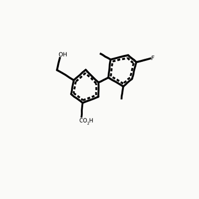 Cc1cc(F)cc(C)c1-c1cc(CO)cc(C(=O)O)c1